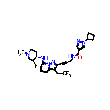 CN1CC[C@@H](Nc2cccc3c(CC(F)(F)F)c(C#CCNC(=O)c4cnn(C5CCC5)c4)nn23)[C@@H](F)C1